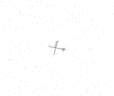 C=P(C)(C)O